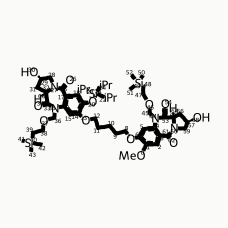 COc1cc2c(cc1OCCCCCOc1cc3c(cc1O[Si](C(C)C)(C(C)C)C(C)C)C(=O)N1C[C@H](O)C[C@H]1C(=O)N3COCC[Si](C)(C)C)N(COCC[Si](C)(C)C)C(=O)[C@@H]1C[C@@H](O)CN1C2=O